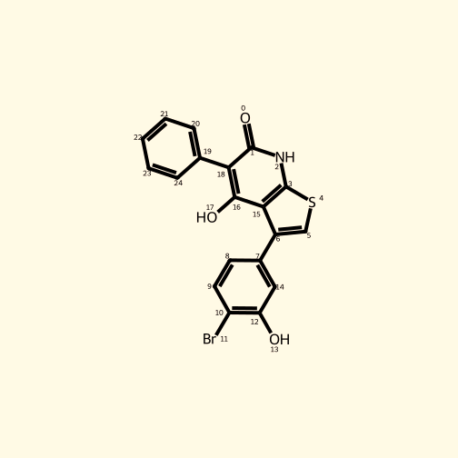 O=c1[nH]c2scc(-c3ccc(Br)c(O)c3)c2c(O)c1-c1ccccc1